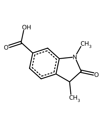 CC1C(=O)N(C)c2cc(C(=O)O)ccc21